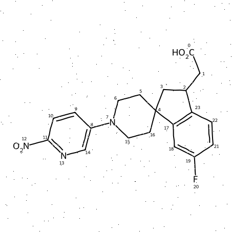 O=C(O)CC1CC2(CCN(c3ccc([N+](=O)[O-])nc3)CC2)c2cc(F)ccc21